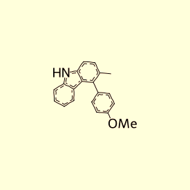 COc1ccc(-c2c(C)ccc3[nH]c4ccccc4c23)cc1